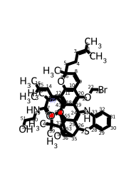 CC(C)=CCCC1(C)C=Cc2c(c(CC=C(C)C)c3c(c2OCBr)C2=C4C(Sc5ccccc5N2)C2CC5C(C)(C)OC(C/C=C(/C)C(=O)NCCO)(C2=O)C45O3)O1